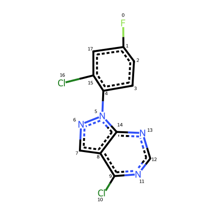 Fc1ccc(-n2ncc3c(Cl)ncnc32)c(Cl)c1